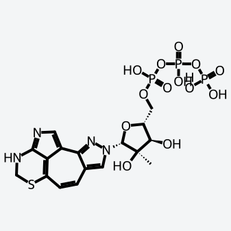 C[C@@]1(O)[C@H](O)[C@@H](COP(=O)(O)OP(=O)(O)OP(=O)(O)O)O[C@H]1n1cc2ccc3c4c(ncc-4c2n1)NCS3